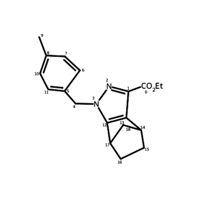 CCOC(=O)c1nn(Cc2ccc(C)cc2)c2c1C1CCC2C1